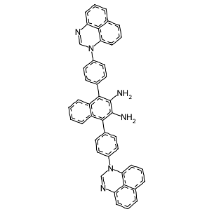 Nc1c(N)c(-c2ccc(N3C=Nc4cccc5cccc3c45)cc2)c2ccccc2c1-c1ccc(N2C=Nc3cccc4cccc2c34)cc1